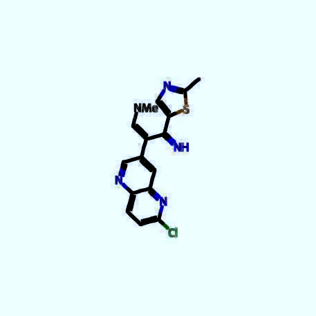 CN/C=C(\C(=N)c1cnc(C)s1)c1cnc2ccc(Cl)nc2c1